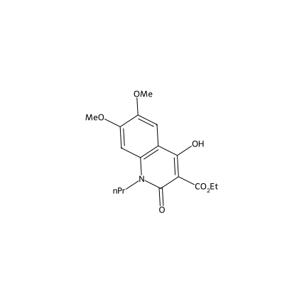 CCCn1c(=O)c(C(=O)OCC)c(O)c2cc(OC)c(OC)cc21